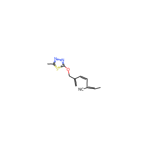 C=C(/C=C\C(C#N)=C/C)COc1nnc(C)s1